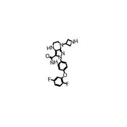 NC(=O)c1c2c(nn1-c1ccc(Oc3cc(F)ccc3F)cc1)N(C1CNC1)CCN2